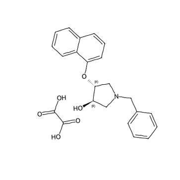 O=C(O)C(=O)O.O[C@@H]1CN(Cc2ccccc2)C[C@H]1Oc1cccc2ccccc12